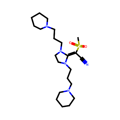 CS(=O)(=O)C(C#N)=C1N(CCCN2CCCCC2)CCN1CCCN1CCCCC1